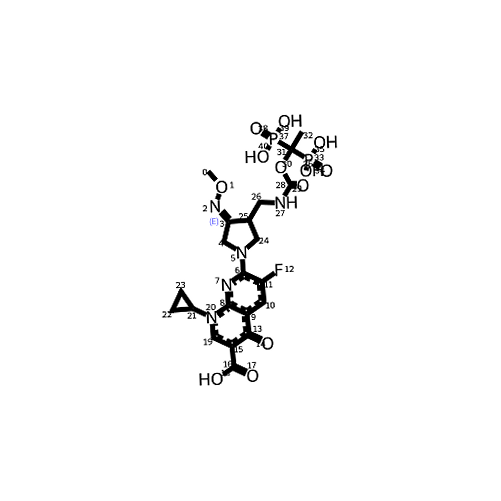 CO/N=C1/CN(c2nc3c(cc2F)c(=O)c(C(=O)O)cn3C2CC2)CC1CNC(=O)OC(C)(P(=O)(O)O)P(=O)(O)O